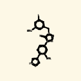 COc1cc(F)cc(Cn2nnn(-c3ccc(-c4cn[nH]c4)c(OC)c3)c2=O)c1